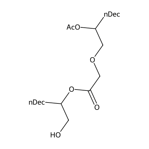 CCCCCCCCCCC(COCC(=O)OC(CO)CCCCCCCCCC)OC(C)=O